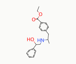 CCOC(=O)c1ccc(CC(C)NCC(O)c2ccccc2)cc1